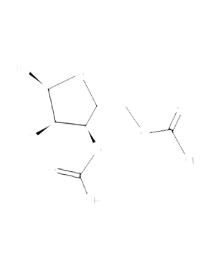 CC(=O)OC[C@H]1O[C@H](Br)[C@H](Br)[C@@H]1OC(C)=O